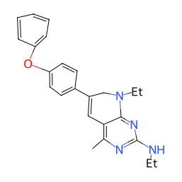 CCNc1nc(C)c2c(n1)N(CC)CC(c1ccc(Oc3ccccc3)cc1)=C2